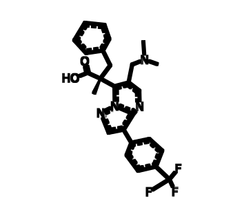 CN(C)Cc1cnc2c(-c3ccc(C(F)(F)F)cc3)cnn2c1[C@@](C)(Cc1ccccc1)C(=O)O